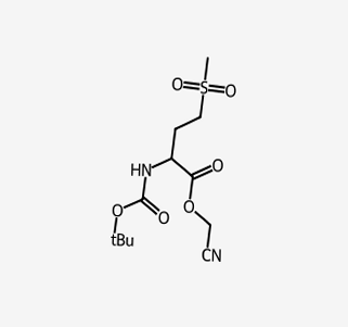 CC(C)(C)OC(=O)NC(CCS(C)(=O)=O)C(=O)OCC#N